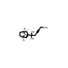 CC(=O)OCC#CCC(C#N)(C#N)C1=C[C@H]2CC[C@H](N2)[C@@H]1C